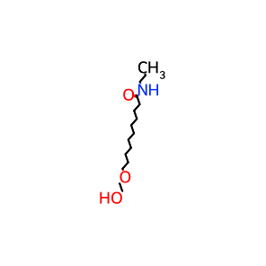 CCCNC(=O)CCCCCCCCCCOCCO